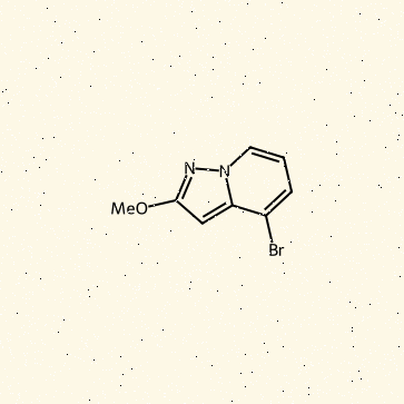 COc1cc2c(Br)cccn2n1